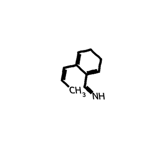 C/C=C\C1=CCCC=C1C=N